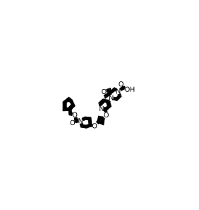 O=C(O)N1CCN(c2ccnc(OC3CC(OC4CCN(C(=O)OCc5ccccc5)CC4)C3)c2)C2(COC2)C1